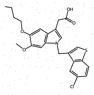 CCCCOc1cc2c(CC(=O)O)cn(Cc3csc4ccc(Cl)cc34)c2cc1OC